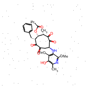 COc1nc(C)c(O)c(OC)c1N[C@H]1CC(=O)C(=O)[C@H](Cc2ccccc2)[C@H](OC(=O)C(C)C)[C@H](C)C(=O)C1=O